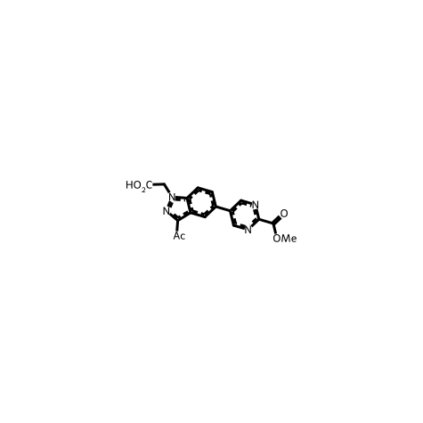 COC(=O)c1ncc(-c2ccc3c(c2)c(C(C)=O)nn3CC(=O)O)cn1